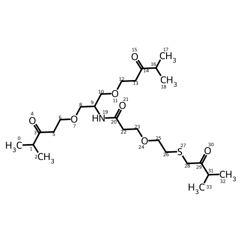 CC(C)C(=O)CCOCC(COCCC(=O)C(C)C)NC(=O)CCOCCSCC(=O)C(C)C